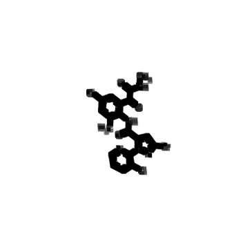 CNC(=O)C(=O)c1cc(Cl)cc(C)c1NC(=O)c1cc(Br)nn1-c1ncccc1Cl